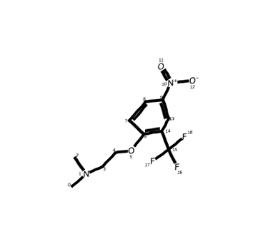 CN(C)CCOc1ccc([N+](=O)[O-])cc1C(F)(F)F